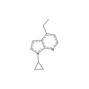 CCc1ccnc2c1ccn2C1CC1